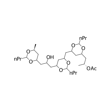 CCCC1OC(CC(O)CC2C[C@H](C)OC(CCC)O2)CC(CC2CC(C[C@@H](C)OC(C)=O)OC(CCC)O2)O1